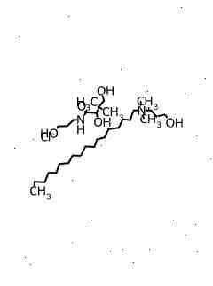 CC(C)(CO)C(O)C(=O)NCCCO.CCCCCCCCCCCCCCCCCC[N+](C)(C)CCCO.[Cl-]